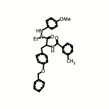 CCN(Nc1ccc(OC)cc1)C(=O)C(Cc1ccc(OCc2ccccc2)cc1)NC(=O)c1cccc(C)c1